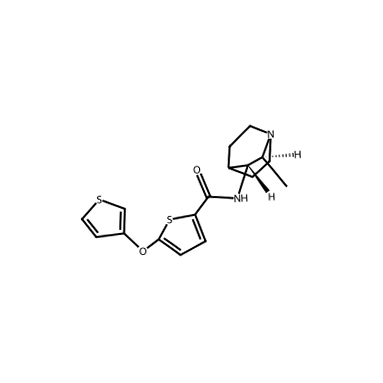 C[C@H]1[C@H](NC(=O)c2ccc(Oc3ccsc3)s2)C2CCN1CC2